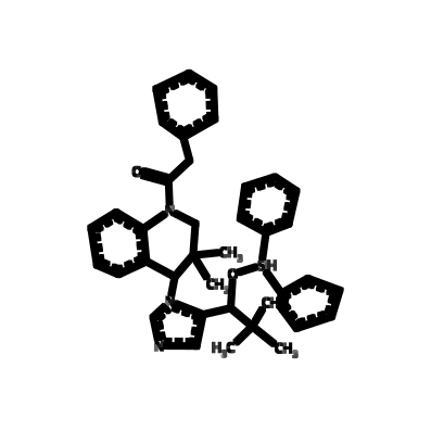 CC(C)(C)C(O[SiH](c1ccccc1)c1ccccc1)c1cncn1C1c2ccccc2N(C(=O)Cc2ccccc2)CC1(C)C